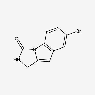 O=C1NCc2cc3cc(Br)ccc3n21